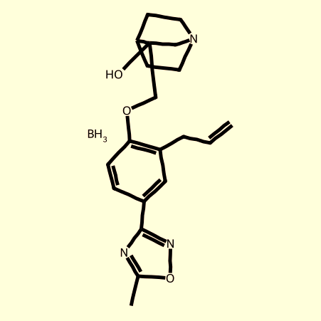 B.C=CCc1cc(-c2noc(C)n2)ccc1OCC1(O)CN2CCC1CC2